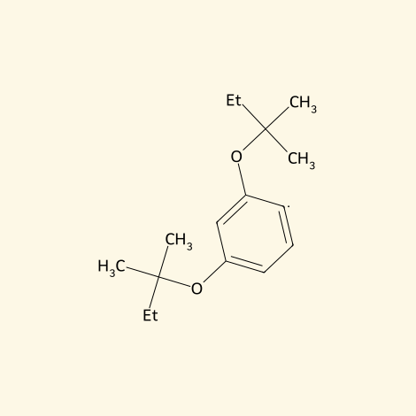 CCC(C)(C)Oc1[c]ccc(OC(C)(C)CC)c1